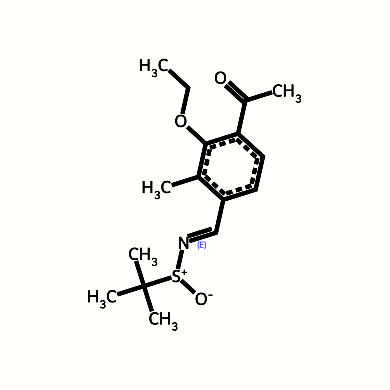 CCOc1c(C(C)=O)ccc(/C=N/[S+]([O-])C(C)(C)C)c1C